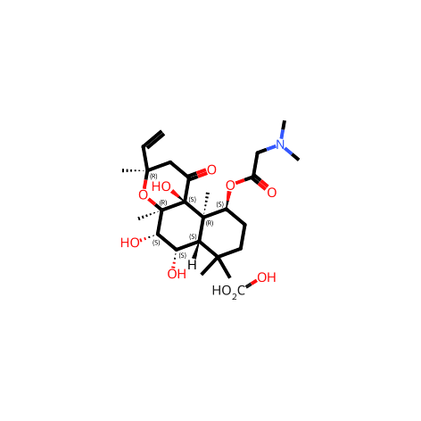 C=C[C@@]1(C)CC(=O)[C@]2(O)[C@@]3(C)[C@@H](OC(=O)CN(C)C)CCC(C)(C)[C@@H]3[C@H](O)[C@H](O)[C@@]2(C)O1.O=C(O)O